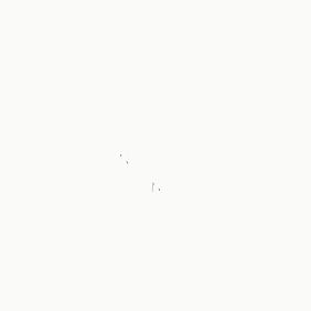 CC1CCCC1c1cc(-c2ccccc2)c2ccc3c(-c4ccccc4)cc(C4CCCC4C)nc3c2n1